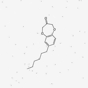 CCCCCCc1ccc2c(c1)OCC(=O)CO2